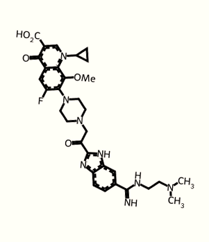 COc1c(N2CCN(CC(=O)c3nc4ccc(C(=N)NCCN(C)C)cc4[nH]3)CC2)c(F)cc2c(=O)c(C(=O)O)cn(C3CC3)c12